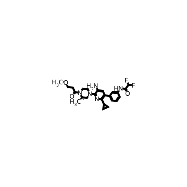 COCCC(=O)N1CCN(c2nc(C3CC3)c(-c3cccc(NC(=O)C(F)F)c3)cc2N)C[C@H]1C